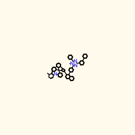 CC1CC=Cc2c1c1cccc3c1n2-c1ccccc1C31c2ccccc2-c2ccc(-c3ccc4ccccc4c3-c3ccc(C4N=C(c5cccc(-c6ccccc6)c5)N(C)C(c5ccccc5)N4C)cc3)cc21